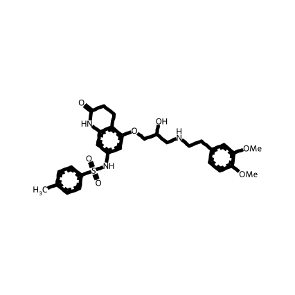 COc1ccc(CCNCC(O)COc2cc(NS(=O)(=O)c3ccc(C)cc3)cc3c2CCC(=O)N3)cc1OC